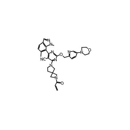 C=CC(=O)N1CC2(CCN(c3nc(OCc4ccc(N5CCOCC5)cn4)nc(-c4c(C)ccc5cnn(C)c45)c3C#N)C2)C1